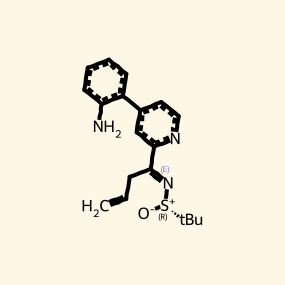 C=CC/C(=N\[S@@+]([O-])C(C)(C)C)c1cc(-c2ccccc2N)ccn1